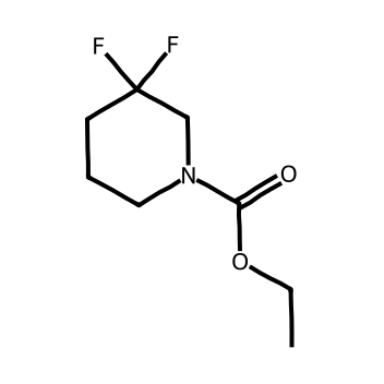 CCOC(=O)N1CCCC(F)(F)C1